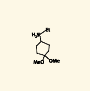 CC[SiH2]C1CCC(OC)(OC)CC1